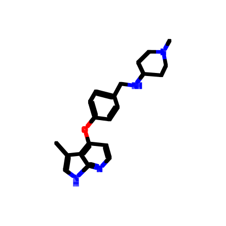 Cc1c[nH]c2nccc(Oc3ccc(CNC4CCN(C)CC4)cc3)c12